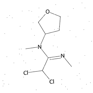 CN=C(C(Cl)Cl)N(C)C1CCOC1